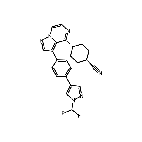 N#C[C@H]1CC[C@H](c2nccn3ncc(-c4ccc(-c5cnn(C(F)F)c5)cc4)c23)CC1